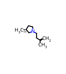 C=C(C)CCN1CC[C@H](C)C1